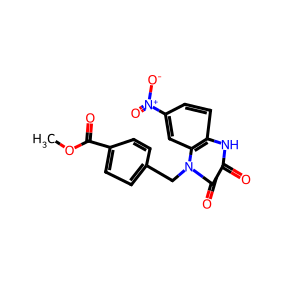 COC(=O)c1ccc(Cn2c(=O)c(=O)[nH]c3ccc([N+](=O)[O-])cc32)cc1